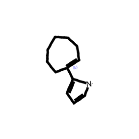 C1=C[N]C(/C2=C/CCCCCC2)=C1